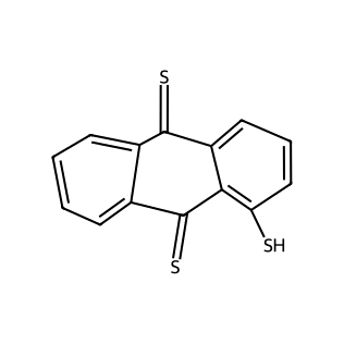 S=C1c2ccccc2C(=S)c2c(S)cccc21